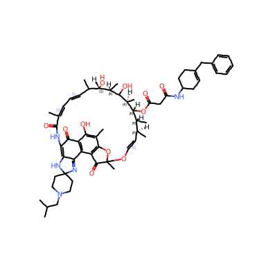 C/C1=C/C=C/C(C)[C@H](O)[C@@H](C)C(O)[C@@H](C)[C@H](OC(=O)CC(=O)NC2CC=C(Cc3ccccc3)CC2)[C@H](C)[C@@H](C)/C=C/OC2(C)Oc3c(C)c(O)c4c(c3C2=O)C2=NC3(CCN(CC(C)C)CC3)NC2=C(NC1=O)C4=O